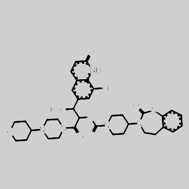 Cc1cc(C(C)C(OC(=O)N2CCC(N3CCc4ccccc4NC3=O)CC2)C(=O)N2CCN(C3CCOCC3)CC2)cc2ccc(=O)[nH]c12